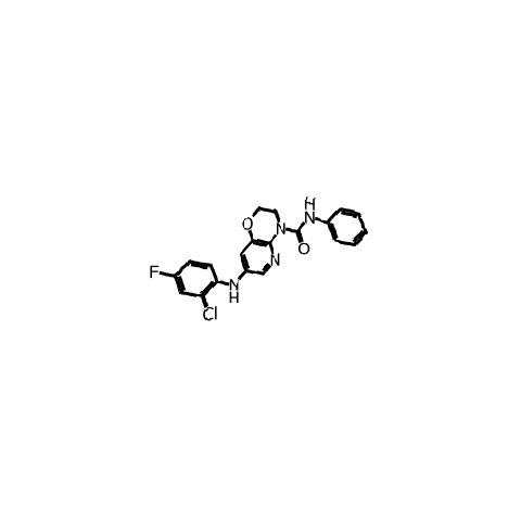 O=C(Nc1ccccc1)N1CCOc2cc(Nc3ccc(F)cc3Cl)cnc21